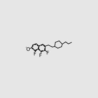 CCCC1CCC(CCc2cc3ccc(OC)c(F)c3c(F)c2F)CC1